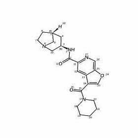 O=C(N[C@@H]1C[C@H]2CCN(C2)C1)c1cc2c(C(=O)N3CCCCC3)coc2cn1